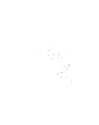 Cc1nc2c(c(C)c1Cl)CN(C(=O)C1C=CN(c3cncc(C(F)F)c3)C1)C2